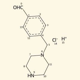 O=Cc1ccc(CN2CCNCC2)cc1.[Cl-].[H+]